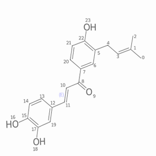 CC(C)=CCc1cc(C(=O)/C=C/c2ccc(O)c(O)c2)ccc1O